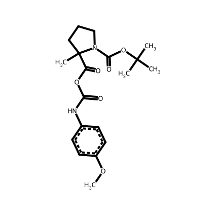 COc1ccc(NC(=O)OC(=O)C2(C)CCCN2C(=O)OC(C)(C)C)cc1